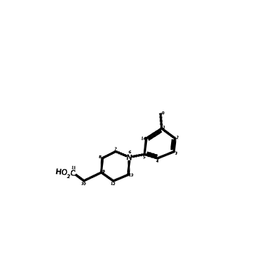 Cc1cccc(N2CCC(CC(=O)O)CC2)c1